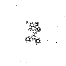 O=C1c2cc(Br)ccc2C2(c3ccc(-c4cc(-c5ccccc5)cc(-c5ccccc5)c4)cc31)c1ccccc1-c1ccccc12